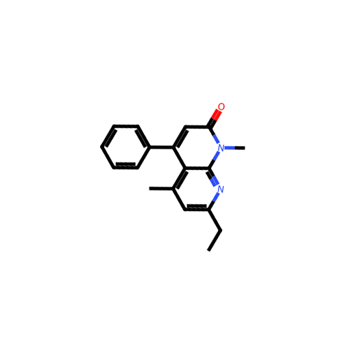 CCc1cc(C)c2c(-c3ccccc3)cc(=O)n(C)c2n1